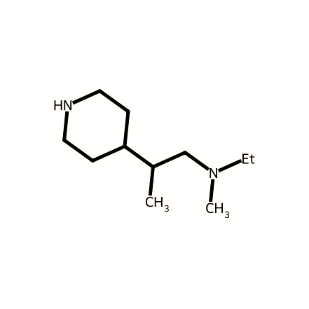 CCN(C)CC(C)C1CCNCC1